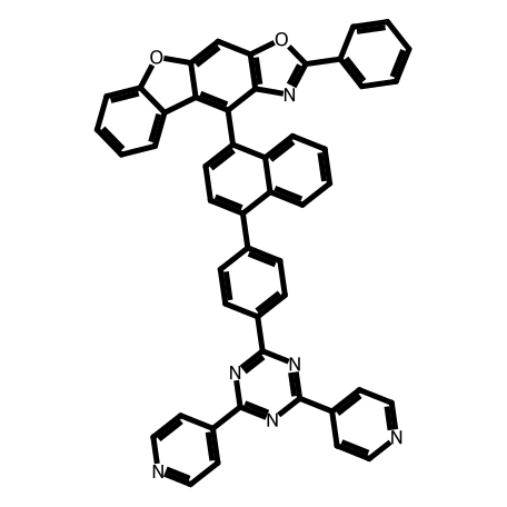 c1ccc(-c2nc3c(-c4ccc(-c5ccc(-c6nc(-c7ccncc7)nc(-c7ccncc7)n6)cc5)c5ccccc45)c4c(cc3o2)oc2ccccc24)cc1